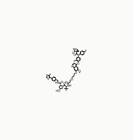 COc1cc2c(Oc3ccc(N(C(=O)C4(C(N)=O)CC4)c4ccc(F)cc4)cc3F)ccnc2cc1OCCCOCCC(=O)N[C@H](C(=O)N1C[C@@H](O)C[C@H]1C(=O)NCc1ccc(-c2scnc2C)cc1)C(C)(C)C